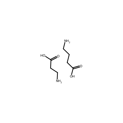 NCCC(=O)O.NCCCC(=O)O